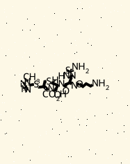 Cn1nnnc1SCC1=C(C(=O)O)N2C(=O)C(NC(=O)/C(=N/OCCCN)c3nsc(N)n3)[C@H]2SC1